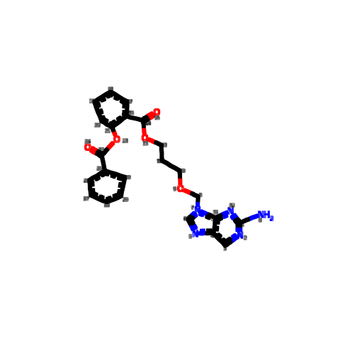 Nc1ncc2ncn(COCCCOC(=O)c3ccccc3OC(=O)c3ccccc3)c2n1